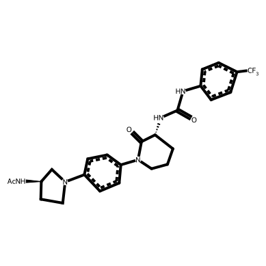 CC(=O)N[C@@H]1CCN(c2ccc(N3CCC[C@@H](NC(=O)Nc4ccc(C(F)(F)F)cc4)C3=O)cc2)C1